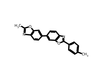 Cc1ccc(-c2nc3ccc(-c4ccc5nc(C)oc5c4)cc3o2)cc1